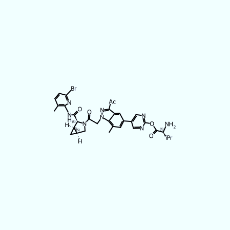 CC(=O)c1nn(CC(=O)N2C[C@H]3C[C@H]3[C@H]2C(=O)Nc2nc(Br)ccc2C)c2c(C)cc(-c3cnc(OC(=O)[C@@H](N)C(C)C)nc3)cc12